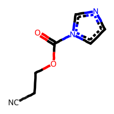 N#CCCOC(=O)n1ccnc1